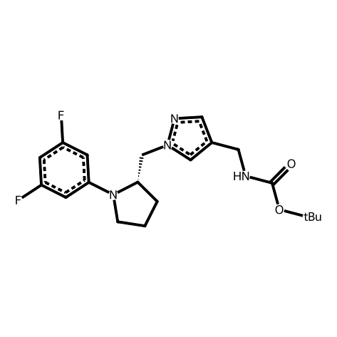 CC(C)(C)OC(=O)NCc1cnn(C[C@@H]2CCCN2c2cc(F)cc(F)c2)c1